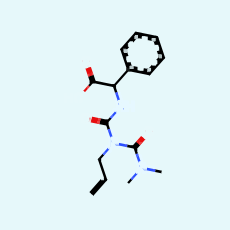 C=CCN(C(=O)NC(C(=O)O)c1ccccc1)C(=O)N(C)C